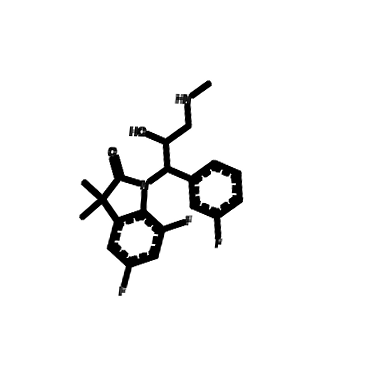 CNCC(O)C(c1cccc(F)c1)N1C(=O)C(C)(C)c2cc(F)cc(F)c21